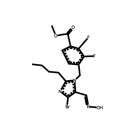 CCCCc1nc(Br)c(C=NO)n1Cc1ccc(C(=O)OC)c(F)c1F